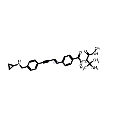 CC(C)(N)[C@H](NC(=O)c1ccc(/C=C/C#Cc2ccc(CNC3CC3)cc2)cc1)C(=O)NO